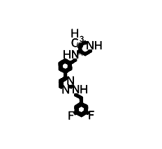 C[C@H]1CNCC[C@H]1NCc1cccc(-c2ccnc(NCCc3cc(F)cc(F)c3)n2)c1